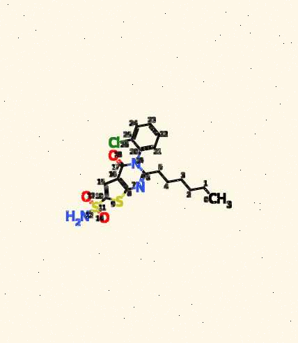 CCCCCCc1nc2sc(S(N)(=O)=O)cc2c(=O)n1-c1ccccc1Cl